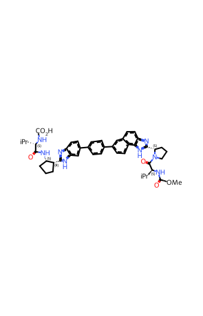 COC(=O)N[C@H](C(=O)N1CCC[C@H]1c1nc2ccc3cc(-c4ccc(-c5ccc6nc([C@@H]7CCC[C@@H]7NC(=O)[C@@H](NC(=O)O)C(C)C)[nH]c6c5)cc4)ccc3c2[nH]1)C(C)C